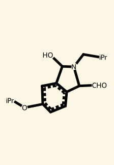 CC(C)CN1C(O)c2cc(OC(C)C)ccc2C1C=O